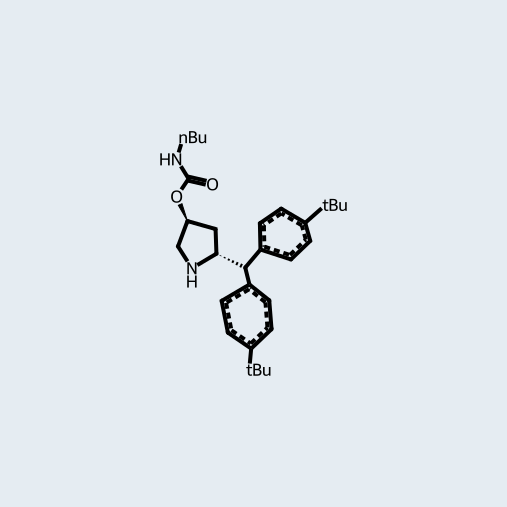 CCCCNC(=O)O[C@@H]1CN[C@@H](C(c2ccc(C(C)(C)C)cc2)c2ccc(C(C)(C)C)cc2)C1